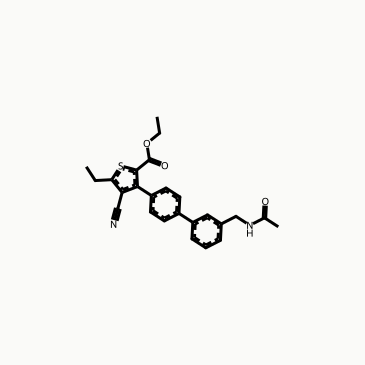 CCOC(=O)c1sc(CC)c(C#N)c1-c1ccc(-c2cccc(CNC(C)=O)c2)cc1